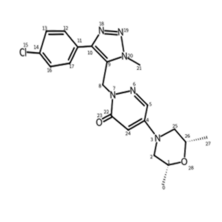 C[C@@H]1CN(c2cnn(Cc3c(-c4ccc(Cl)cc4)nnn3C)c(=O)c2)C[C@H](C)O1